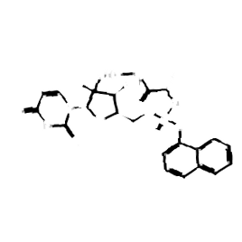 CCCCOC(=O)[C@H](C)NP(=O)(OC[C@H]1O[C@@H](n2ccc(=O)[nH]c2=S)C(C)(O)[C@H]1O)Oc1cccc2ccccc12